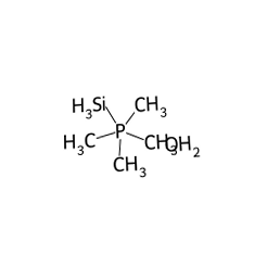 CP(C)(C)(C)[SiH3].O